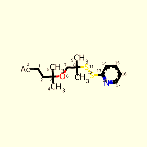 CC(=O)CCC(C)(C)OCC(C)(C)SSc1ccccn1